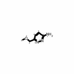 COCc1ccc(N)nn1